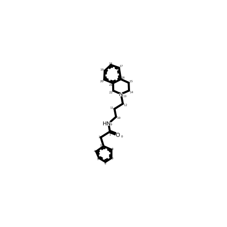 O=C(Cc1ccccc1)NCCCN1CCc2ccccc2C1